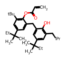 C=CC(=O)Oc1c(Cc2cc(C(C)(C)CC)cc(CC(C)C)c2O)cc(C(C)(C)CC)cc1C(C)(C)C